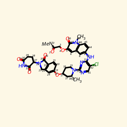 CNC(=O)COc1cc2cc(Nc3nc(N4CC[C@H](Oc5ccc6c(c5)CN(C5CCC(=O)NC5=O)C6=O)C[C@H]4C)ncc3Cl)ccc2n(C)c1=O